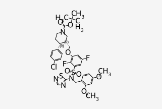 COc1ccc(CN(c2ncns2)S(=O)(=O)c2cc(F)cc(OC[C@H]3CN(C(=O)OC(C)(C)C)CC[C@H]3c3ccc(Cl)cc3)c2F)c(OC)c1